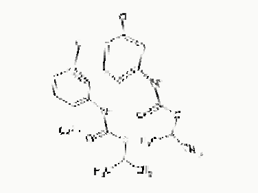 CC(C)OC(=O)[N-]c1cccc(Cl)c1.CC(C)OC(=O)[N-]c1cccc(Cl)c1.[Cu+2]